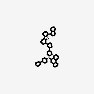 c1ccc(-c2ccc(N(c3ccc(-c4cccc(-c5cccc6c5sc5c(-c7cccc8ccccc78)cccc56)c4)cc3)c3cc4ccccc4c4ccccc34)cc2)cc1